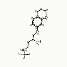 CC(C)(C)NCCC(O)COc1ccc2c(c1)OCCC2